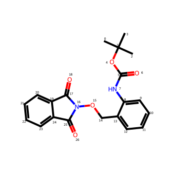 CC(C)(C)OC(=O)Nc1ccccc1CON1C(=O)c2ccccc2C1=O